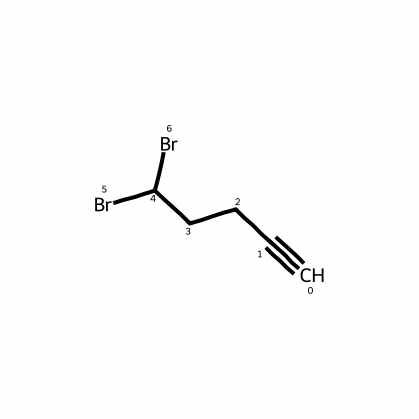 C#CCCC(Br)Br